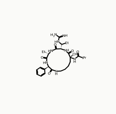 CCC(NC(=N)N)[C@@H]1NC(=O)[C@](C)(NC(=O)C(C)C)CCCCNC(=O)[C@@H](c2ccccc2)NC(=O)[C@H](CC)NC1=O